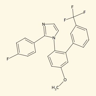 COc1ccc(-n2ccnc2-c2ccc(F)cc2)c(-c2cccc(C(F)(F)F)c2)c1